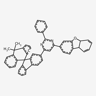 CC1(C)c2ccccc2C2(c3ccccc3-c3ccc(-c4cc(-c5ccc6c(c5)OC5C=CC=CC65)nc(-c5ccccc5)n4)cc32)c2ccccc21